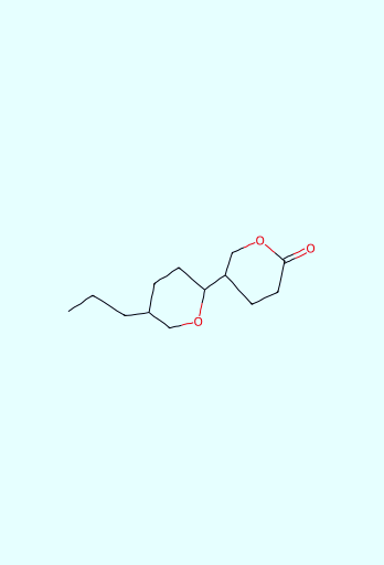 CCCC1CCC(C2CCC(=O)OC2)OC1